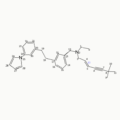 CCN(C/C=C/C#CC(C)(C)C)Cc1cccc(CCc2cccc(-n3cccc3)c2)c1